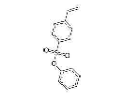 C=Cc1ccc(S(=O)(=O)Oc2ccccc2)cc1